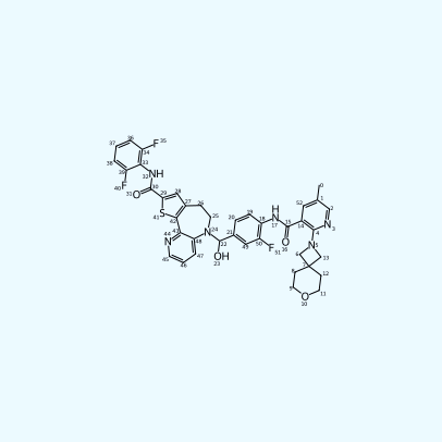 Cc1cnc(N2CC3(CCOCC3)C2)c(C(=O)Nc2ccc(C(O)N3CCc4cc(C(=O)Nc5c(F)cccc5F)sc4-c4ncccc43)cc2F)c1